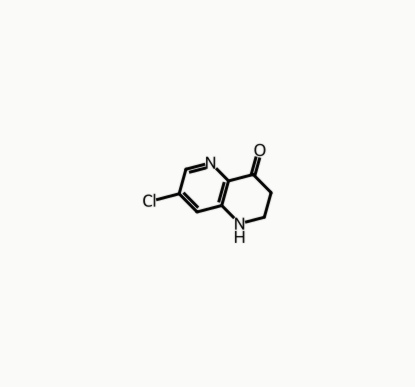 O=C1CCNc2cc(Cl)cnc21